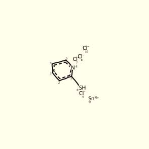 Sc1ccccn1.[Cl-].[Cl-].[Cl-].[Cl-].[Sn+4]